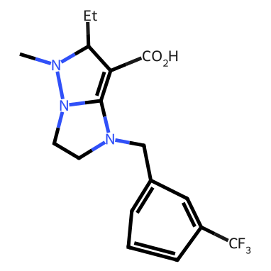 CCC1C(C(=O)O)=C2N(Cc3cccc(C(F)(F)F)c3)CCN2N1C